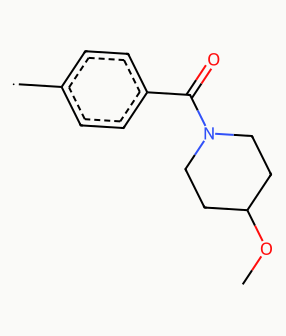 [CH2]c1ccc(C(=O)N2CCC(OC)CC2)cc1